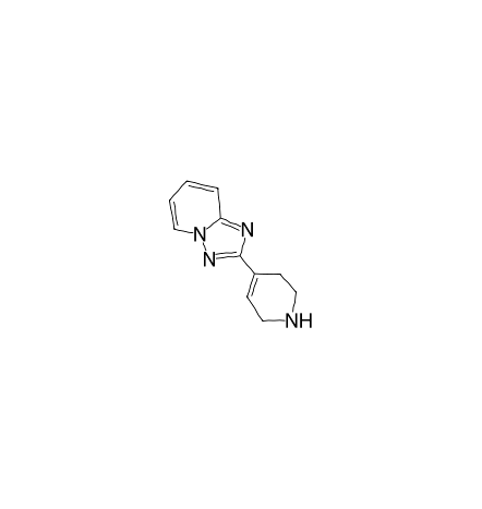 C1=C(c2nc3ccccn3n2)CCNC1